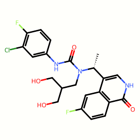 C[C@H](c1c[nH]c(=O)c2ccc(F)cc12)N(CC(CO)CO)C(=O)Nc1ccc(F)c(Cl)c1